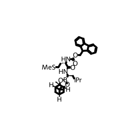 CSCC[C@H](NC(=O)OCC1c2ccccc2-c2ccccc21)C(=O)N[C@@H](CC(C)C)B1O[C@@H]2C[C@@H]3C[C@@H](C3(C)C)[C@]2(C)O1